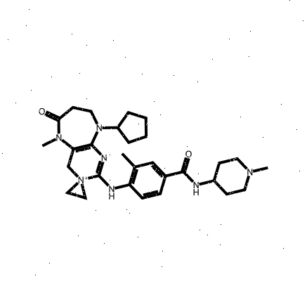 Cc1cc(C(=O)NC2CCN(C)CC2)ccc1NC1=NC2=C(C[N+]13CC3)N(C)C(=O)CCN2C1CCCC1